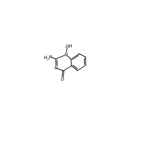 Nc1nc(=O)c2ccccc2n1O